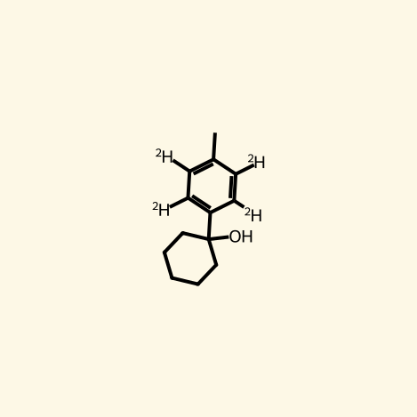 [2H]c1c([2H])c(C2(O)CCCCC2)c([2H])c([2H])c1C